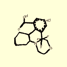 Cl.O=C(O)c1cccc(C(F)(F)F)c1C1CCCCC1N1CCOCC1